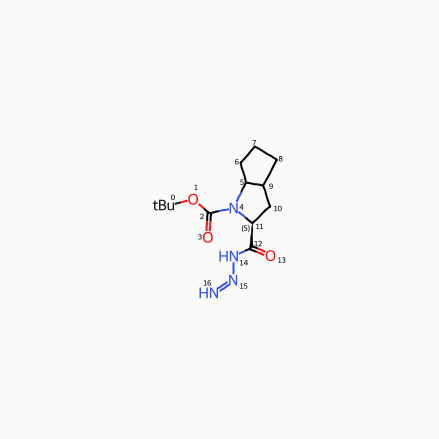 CC(C)(C)OC(=O)N1C2CCCC2C[C@H]1C(=O)NN=N